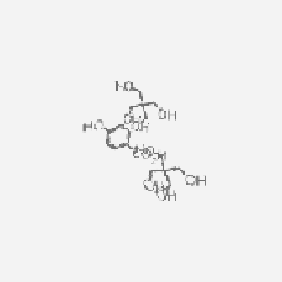 O=C(O)c1ccc(O)cc1.OCC(CO)(CO)CO.OCC(CO)(CO)CO